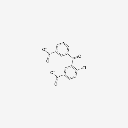 O=C(c1cccc([N+](=O)[O-])c1)c1cc([N+](=O)[O-])ccc1Cl